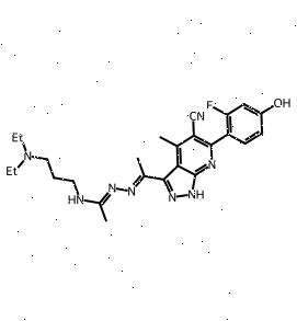 CCN(CC)CCCN/C(C)=N/N=C(\C)c1n[nH]c2nc(-c3ccc(O)cc3F)c(C#N)c(C)c12